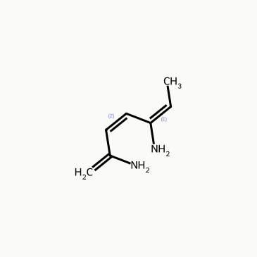 C=C(N)/C=C\C(N)=C/C